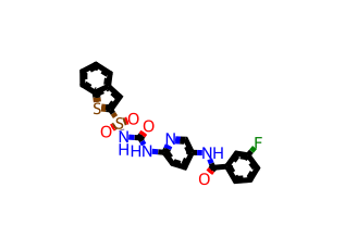 O=C(Nc1ccc(NC(=O)c2cccc(F)c2)cn1)NS(=O)(=O)c1cc2ccccc2s1